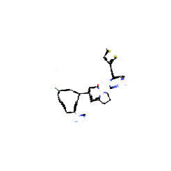 Cl.O=C(O)c1cc(-c2cnc([C@@H]3CCc4cc(-c5cc(Cl)ccc5-n5cnnn5)cc(=O)n43)[nH]2)cs1